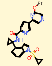 CCOc1cncc(-c2ccc(C(=O)NC3(c4cccc5c4ccn5S(=O)(=O)C4CC4)CC3)nc2)n1